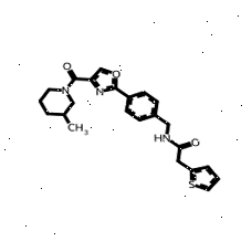 CC1CCCN(C(=O)c2coc(-c3ccc(CNC(=O)Cc4cccs4)cc3)n2)C1